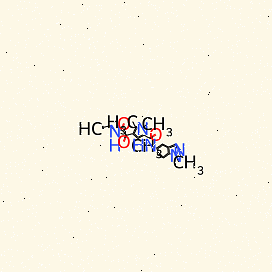 C#CCNC(=O)C(=O)c1c(C)c(C(=O)Nc2ccc3c(cnn3C)c2)n(C)c1C